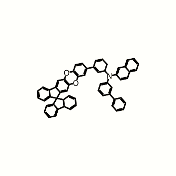 C1=CC2c3ccccc3C3(c4ccccc4-c4cc5c(cc43)Oc3cc(C4=CC(N(c6cccc(-c7ccccc7)c6)c6ccc7ccccc7c6)CC=C4)ccc3O5)C2C=C1